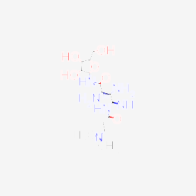 CN(C)CCC(=O)NC(=N)/C(N)=C(\N)C(=O)NC1OC(CO)C(O)C1O